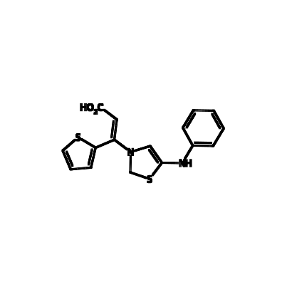 O=C(O)C=C(c1cccs1)N1C=C(Nc2ccccc2)SC1